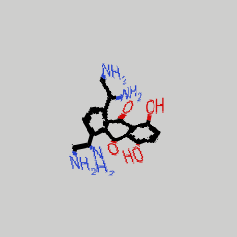 NCC(N)c1ccc(C(N)CN)c2c1C(=O)c1c(O)ccc(O)c1C2=O